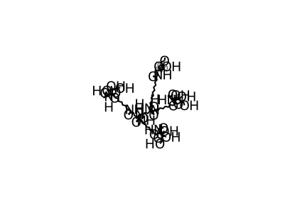 COC[C@@H]1O[C@@H](CNC(=O)CCCCCCCCCCC(=O)NC(CCC(=O)NC(CCC(=O)NCCCCCCOC2OC(CO)C(O)C(O)C2NC(C)=O)C(=O)NCCCCCCOC2OC(CO)C(O)C(O)C2NC(C)=O)C(=O)NCCCCCCOC2OC(CO)C(O)C(O)C2NC(C)=O)C[C@H]1O